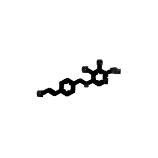 CC(C)(C)n1ncc(SCc2ccc(C=CCl)cc2)c(Cl)c1=O